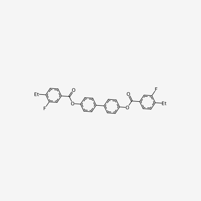 CCc1ccc(C(=O)Oc2ccc(-c3ccc(OC(=O)c4ccc(CC)c(F)c4)cc3)cc2)cc1F